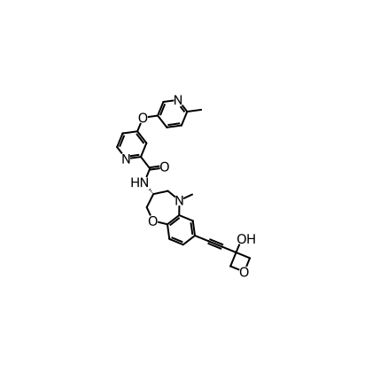 Cc1ccc(Oc2ccnc(C(=O)N[C@H]3COc4ccc(C#CC5(O)COC5)cc4N(C)C3)c2)cn1